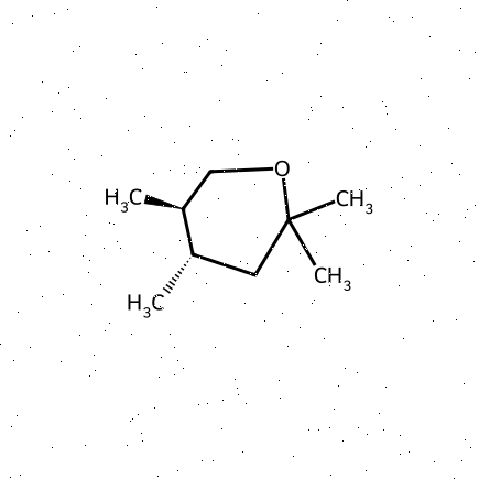 C[C@H]1COC(C)(C)C[C@@H]1C